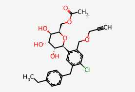 C#CCOCc1cc(Cl)c(Cc2ccc(CC)cc2)cc1[C@@H]1O[C@H](COC(C)=O)[C@H](O)[C@@H](O)[C@H]1O